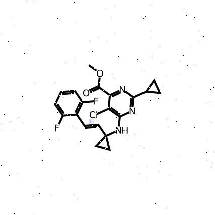 COC(=O)c1nc(C2CC2)nc(NC2(/C=C/c3c(F)cccc3F)CC2)c1Cl